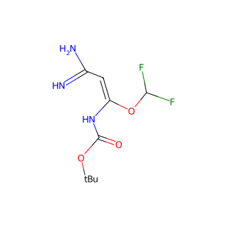 CC(C)(C)OC(=O)N/C(=C\C(=N)N)OC(F)F